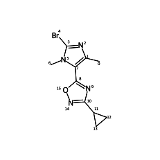 Cc1nc(Br)n(C)c1-c1nc(C2CC2)no1